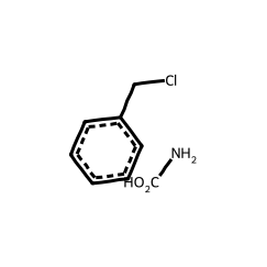 ClCc1ccccc1.NC(=O)O